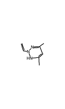 C=CN1N=C(C)C=C(C)N1